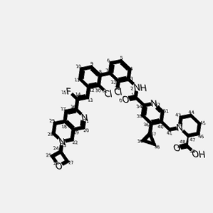 O=C(Nc1cccc(-c2cccc(/C=C(\F)c3cc4c(cn3)CN(C3COC3)CC4)c2Cl)c1Cl)c1cc(C2CC2)c(CN2CCCC[C@H]2C(=O)O)cn1